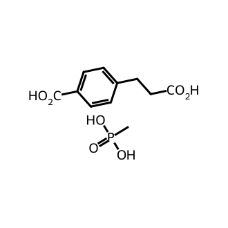 CP(=O)(O)O.O=C(O)CCc1ccc(C(=O)O)cc1